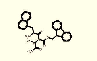 CC(C)[C@H](C(N)=O)N(C(=O)OCC1c2ccccc2-c2ccccc21)C(=O)C(N)Cc1cccc2ccccc12